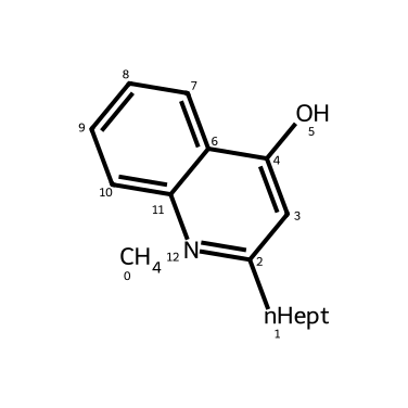 C.CCCCCCCc1cc(O)c2ccccc2n1